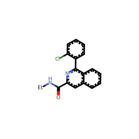 CCNC(=O)c1cc2ccccc2c(-c2ccccc2Cl)n1